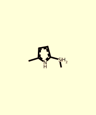 C[SiH2]c1ccc(C)[nH]1